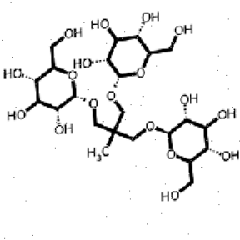 CC(CO[C@@H]1OC(CO)[C@@H](O)C(O)[C@H]1O)(CO[C@H]1OC(CO)[C@@H](O)C(O)[C@H]1O)CO[C@H]1OC(CO)[C@@H](O)C(O)[C@H]1O